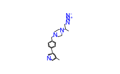 Cc1cncc(-c2ccc(CN3CCN(C(C)CN=[N+]=[N-])CC3)cc2)c1